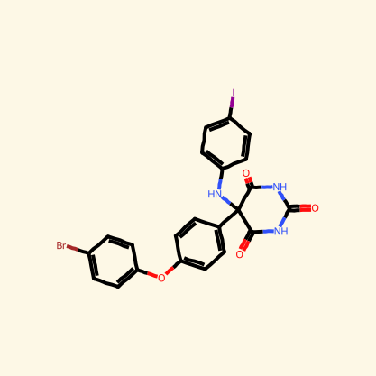 O=C1NC(=O)C(Nc2ccc(I)cc2)(c2ccc(Oc3ccc(Br)cc3)cc2)C(=O)N1